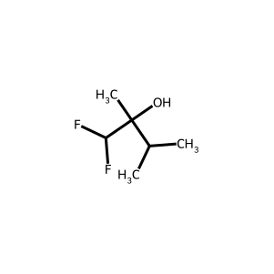 CC(C)C(C)(O)C(F)F